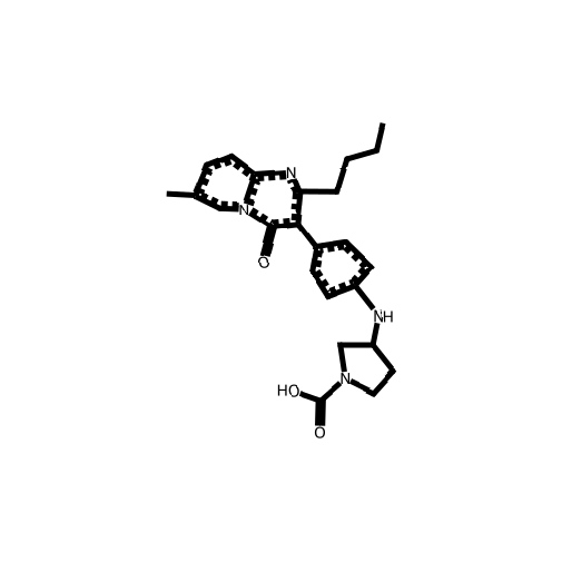 CCCCc1nc2ccc(C)cn2c(=O)c1-c1ccc(NC2CCN(C(=O)O)C2)cc1